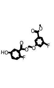 COC(=O)c1cc(F)cc(OCOC(=O)c2cc(O)ccc2F)c1